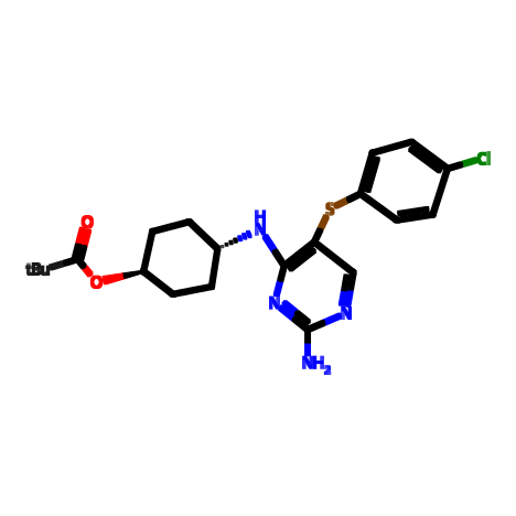 CC(C)(C)C(=O)O[C@H]1CC[C@H](Nc2nc(N)ncc2Sc2ccc(Cl)cc2)CC1